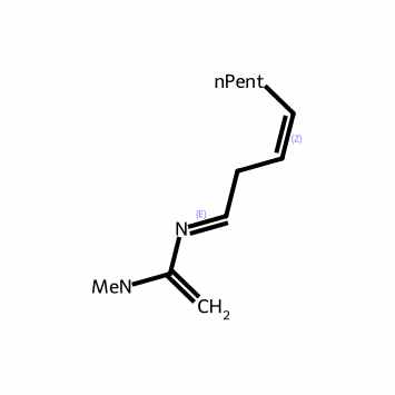 C=C(/N=C/C/C=C\CCCCC)NC